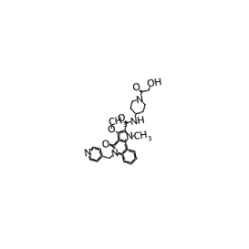 COc1c(C(=O)NC2CCN(C(=O)CO)CC2)n(C)c2c1c(=O)n(Cc1ccncc1)c1ccccc21